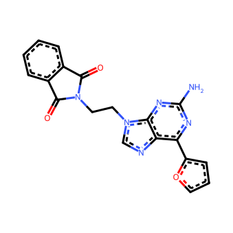 Nc1nc(-c2ccco2)c2ncn(CCN3C(=O)c4ccccc4C3=O)c2n1